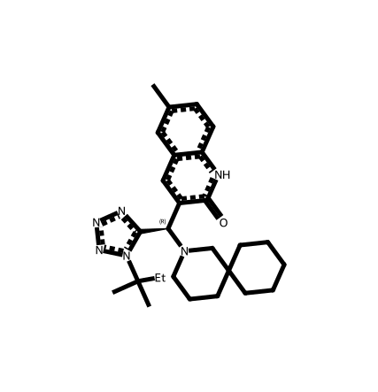 CCC(C)(C)n1nnnc1[C@@H](c1cc2cc(C)ccc2[nH]c1=O)N1CCCC2(CCCCC2)C1